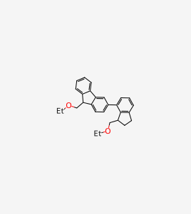 CCOCC1CCc2cccc(-c3ccc4c(c3)-c3ccccc3C4COCC)c21